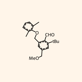 COCc1cc(COc2c(C)cccc2C)c(C=O)c(C(C)(C)C)c1